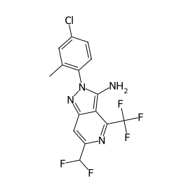 Cc1cc(Cl)ccc1-n1nc2cc(C(F)F)nc(C(F)(F)F)c2c1N